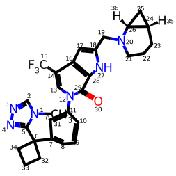 Cn1cnnc1C1(c2cccc(-n3cc(C(F)(F)F)c4cc(CN5CCC[C@H]6C[C@H]65)[nH]c4c3=O)c2)CCC1